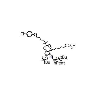 CCCCC[C@@H](/C=C/[C@@H]1C(SCCCCCC(=O)O)=C(OC(=O)C(C)(C)CCCCOc2ccc(Cl)cc2)C[C@H]1O[Si](C)(C)C(C)(C)C)O[Si](C)(C)C(C)(C)C